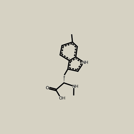 CN[C@@H](Cc1c[nH]c2cc(C)ccc12)C(=O)O